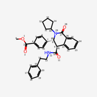 COC(=O)c1ccc([C@H]2[C@H](C(=O)NCCc3ccccc3)c3ccccc3C(=O)N2C2CCCC2)cc1